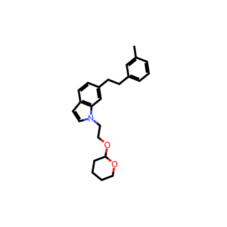 Cc1cccc(CCc2ccc3ccn(CCOC4CCCCO4)c3c2)c1